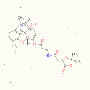 Cc1ccc2c3c1O[C@H]1C(OC(=O)CCNC(=O)C[C@@H]4OC(C)(C)OC4=O)=CC[C@@]4(O)[C@@H](C2)N(C)CC[C@]314